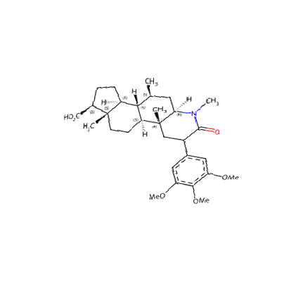 COc1cc(C2C[C@]3(C)[C@H]4CC[C@]5(C)[C@@H](C(=O)O)CC[C@H]5[C@@H]4[C@@H](C)C[C@H]3N(C)C2=O)cc(OC)c1OC